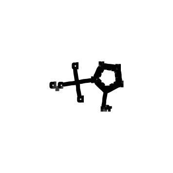 CCCc1nnnn1C(Cl)(Cl)C(Cl)(Cl)Cl